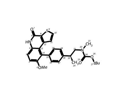 COc1ccc2[nH]c(=O)c3sccc3c2c1-c1ccc([C@H](C)CN(C)C(=O)OC(C)(C)C)cc1